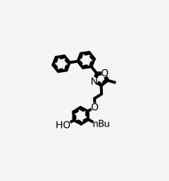 CCCCc1cc(O)ccc1OCCc1nc(-c2cccc(-c3ccccc3)c2)oc1C